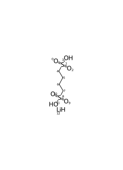 O=S(=O)(O)CCCCS(=O)(=O)O.[LiH]